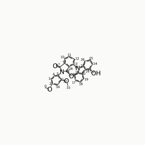 COc1ccc(N2C(=O)c3cccc(-n4c5ccccc5c5c(O)cccc54)c3C2=O)c(OC)c1